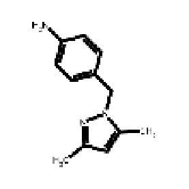 Cc1[c]c(C)n(Cc2ccc(N)cc2)n1